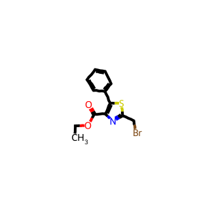 CCOC(=O)c1nc(CBr)sc1-c1ccccc1